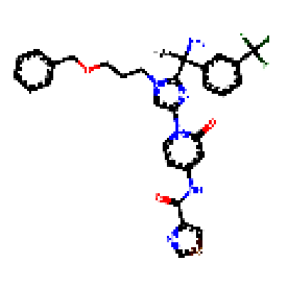 CC(N)(c1cccc(C(F)(F)F)c1)c1nc(-n2ccc(NC(=O)c3cscn3)cc2=O)cn1CCCOCc1ccccc1